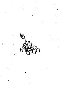 O=C(C[C@@H]1C(=O)Nc2ccccc2N1S(=O)(=O)c1cccc(Cl)c1Cl)NCCc1ccncc1